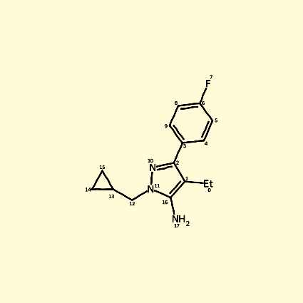 CCc1c(-c2ccc(F)cc2)nn(CC2CC2)c1N